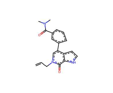 C=CCn1cc(-c2cccc(C(=O)N(C)C)c2)c2cc[nH]c2c1=O